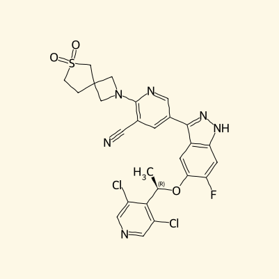 C[C@@H](Oc1cc2c(-c3cnc(N4CC5(CCS(=O)(=O)C5)C4)c(C#N)c3)n[nH]c2cc1F)c1c(Cl)cncc1Cl